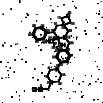 O=CCN1CCN(c2ccc(CN3CC4(COC4)CC(c4ccccc4)S3(O)O)c(F)c2)CC1